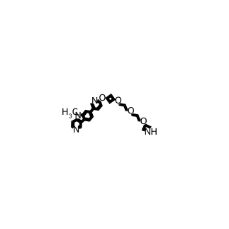 Cn1c2ccncc2c2ccc(-c3ccc(O[C@H]4C[C@H](OCCCOCCCOC5CNC5)C4)nc3)cc21